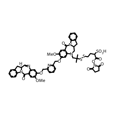 COc1cc2c(cc1OCc1cccc(COc3cc4c(cc3OC)C(=O)N3c5ccccc5CC3CN4CC(C)(C)SSCCC(C(=O)ON3C(=O)CCC3=O)S(=O)(=O)O)n1)N=C[C@@H]1Cc3ccccc3N1C2=O